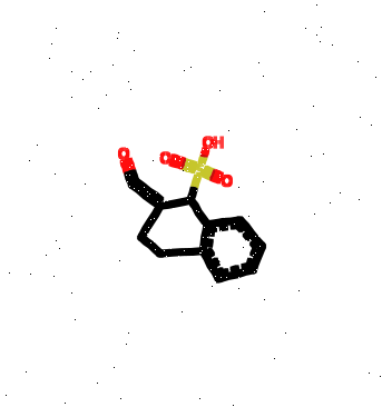 O=C=C1CCc2ccccc2C1S(=O)(=O)O